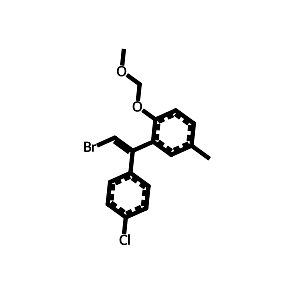 COCOc1ccc(C)cc1/C(=C/Br)c1ccc(Cl)cc1